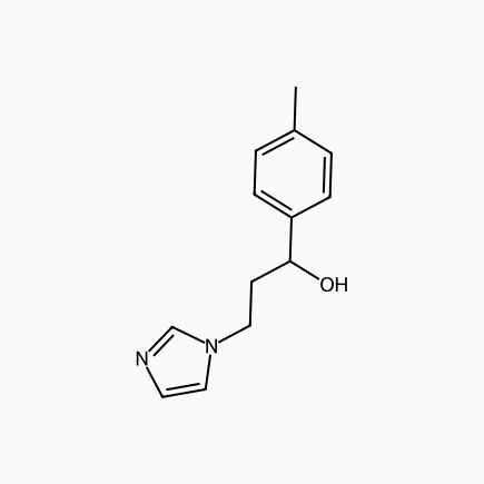 Cc1ccc(C(O)CCn2ccnc2)cc1